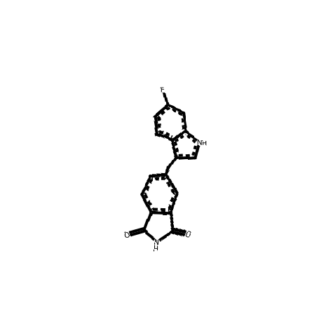 O=C1NC(=O)c2cc(-c3c[nH]c4cc(F)ccc34)ccc21